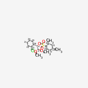 COC(=O)[C@H](OS(=O)(=O)c1c(C)cc(C)cc1C)c1ccccc1Cl